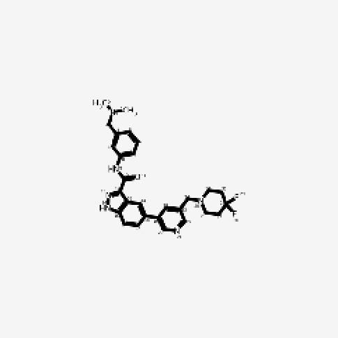 CN(C)Cc1cccc(NC(=O)c2n[nH]c3ccc(-c4cncc(CN5CCC(F)(F)CC5)c4)cc23)c1